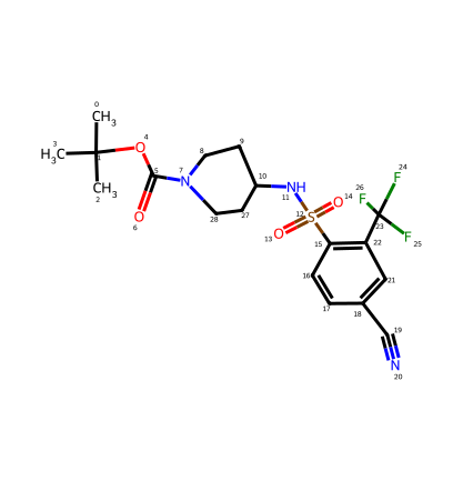 CC(C)(C)OC(=O)N1CCC(NS(=O)(=O)c2ccc(C#N)cc2C(F)(F)F)CC1